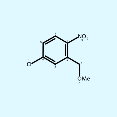 COCc1cc(Cl)ccc1[N+](=O)[O-]